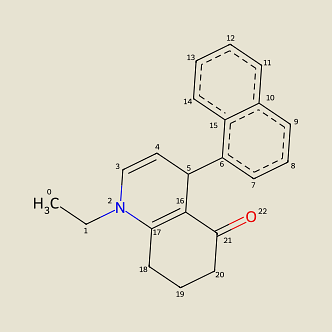 CCN1C=CC(c2cccc3ccccc23)C2=C1CCCC2=O